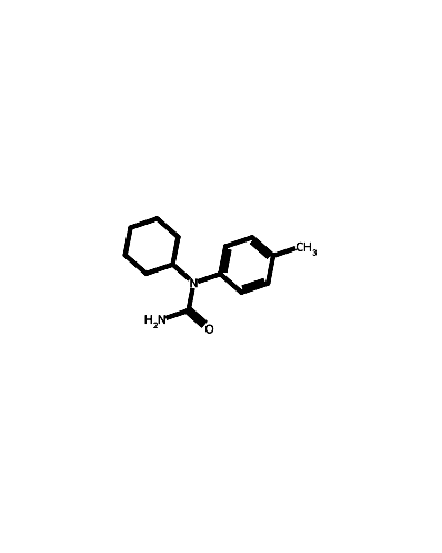 Cc1ccc(N(C(N)=O)C2CCCCC2)cc1